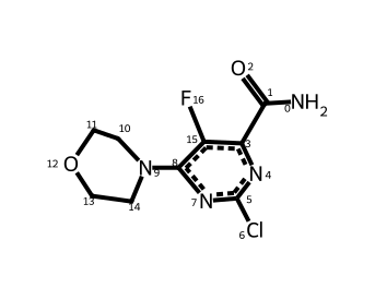 NC(=O)c1nc(Cl)nc(N2CCOCC2)c1F